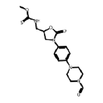 COC(=S)NCC1CN(c2ccc(N3CCN(C=O)CC3)cc2)C(=O)O1